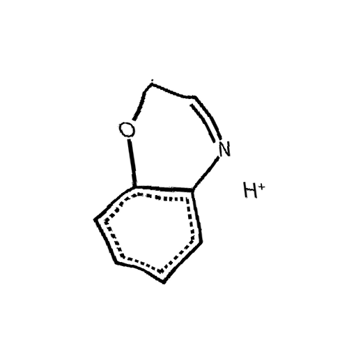 [CH]1C=Nc2ccccc2O1.[H+]